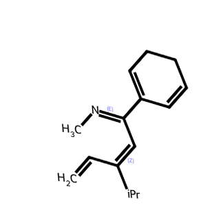 C=C/C(=C\C(=N/C)C1=CCCC=C1)C(C)C